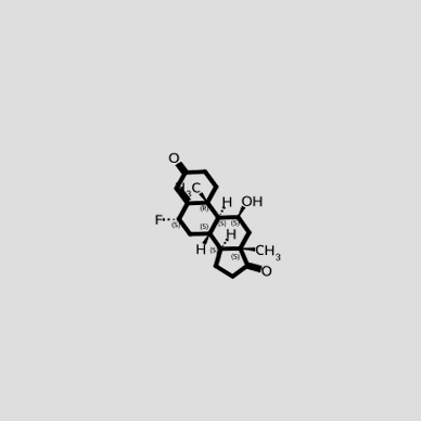 C[C@]12CCC(=O)C=C1[C@@H](F)C[C@@H]1[C@@H]2[C@@H](O)C[C@]2(C)C(=O)CC[C@@H]12